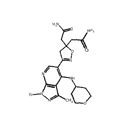 CCn1nc(C)c2c(NC3CCOCC3)c(C3=NOC(CC(N)=O)(CC(N)=O)C3)cnc21